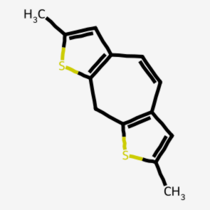 Cc1cc2c(s1)Cc1sc(C)cc1C=C2